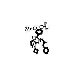 COc1cc(C(=O)N(CC(C)=Cc2ccccc2)CC2CCCN2C2CCC2)ccc1OC(F)F